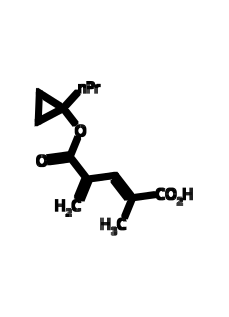 C=C(C=C(C)C(=O)O)C(=O)OC1(CCC)CC1